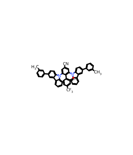 Cc1cccc(-c2ccc3c(c2)c2ccccc2n3-c2cc(C#N)cc(-n3c4ccccc4c4cc(-c5cccc(C)c5)ccc43)c2-c2ccc(C(F)(F)F)cc2C(F)(F)F)c1